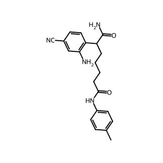 Cc1ccc(NC(=O)CCCCC(C(N)=O)c2ccc(C#N)cc2N)cc1